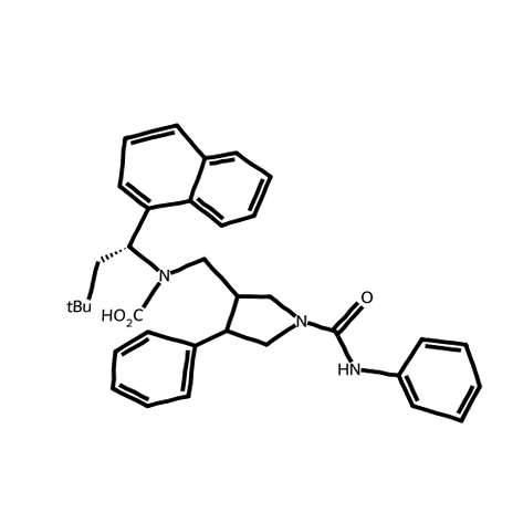 CC(C)(C)C[C@H](c1cccc2ccccc12)N(CC1CN(C(=O)Nc2ccccc2)CC1c1ccccc1)C(=O)O